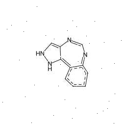 C1=NC2=CNNC2=c2ccccc2=N1